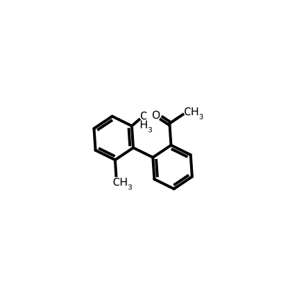 CC(=O)c1ccccc1-c1c(C)cccc1C